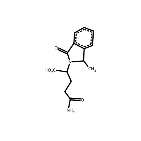 CC1c2ccccc2C(=O)N1C(CCC(N)=O)C(=O)O